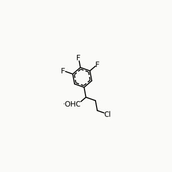 O=[C]C(CCCl)c1cc(F)c(F)c(F)c1